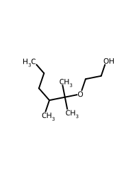 CCCC(C)C(C)(C)OCCO